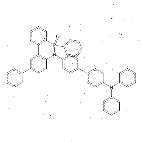 O=P1(c2ccccc2)c2ccccc2-c2cc(-c3ccccc3)ccc2N1c1ccc(-c2ccc(N(c3ccccc3)c3ccccc3)cc2)cc1